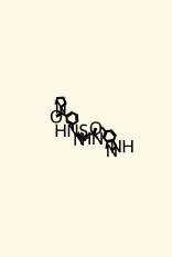 Cc1ccc2[nH]ncc2c1NC(=O)c1cnc(Nc2cccc(C(=O)N3CCCC3)c2)s1